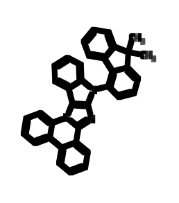 CC1(C)c2ccccc2-c2c(-n3c4ccccc4c4c3nc3c5ccccc5c5ccccc5n34)cccc21